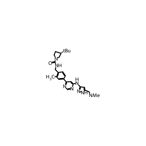 CNCc1cc(Nc2cc(-c3ccc(CNC(=O)N4CC[C@@H](C(C)(C)C)C4)c(C)c3)ncn2)n[nH]1